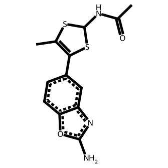 CC(=O)NC1SC(C)=C(c2ccc3oc(N)nc3c2)S1